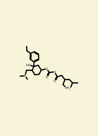 CCc1cccc(C2(O)CC(OC(=O)OC(=O)CC(CN)CC(C)C)CCC2CN(C)C)c1